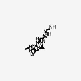 CCNc1nc(Nc2cc(C(C)(C)N/N=C\C=N)nn2C2CC2)ncc1Br